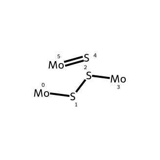 [Mo][S][S][Mo].[S]=[Mo]